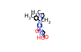 Cc1ccc(CN2CCN(C(=O)n3ccc(C(=O)O)n3)CC2)c(N2C(C)CCC2C)c1